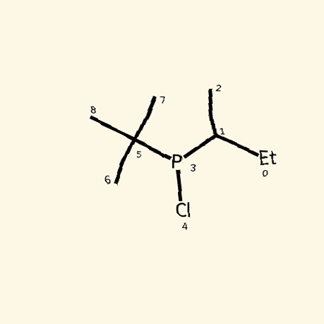 CCC(C)P(Cl)C(C)(C)C